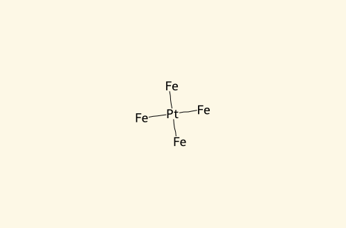 [Fe][Pt]([Fe])([Fe])[Fe]